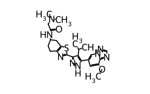 COc1cc(-c2[nH]nc(-c3nc4c(s3)CC(NC(=O)CN(C)C)CC4)c2C(C)C)cn2ncnc12